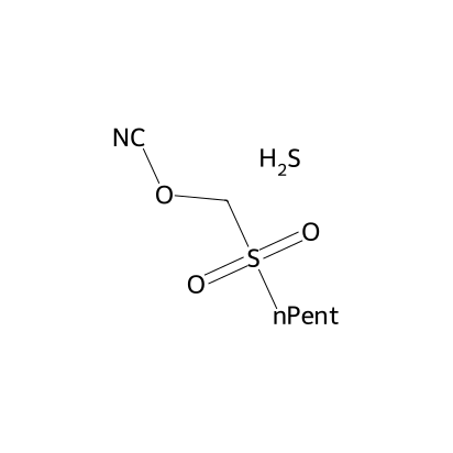 CCCCCS(=O)(=O)COC#N.S